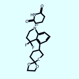 O=C1CC[C@H](N2CCC(F)(F)c3c(C4CCC5(CC4)OCCO5)cccc32)C(=O)N1